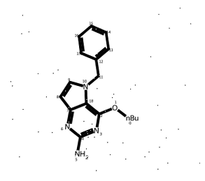 CCCCOc1nc(N)nc2ccn(Cc3ccccc3)c12